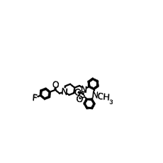 CN1c2ccccc2N(CC2CCN(CC(=O)c3ccc(F)cc3)CC2)S(=O)(=O)c2ccccc21